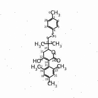 Cc1ccc(SCC(C)(C)C2CC(O)=C(c3c(C)cc(C)cc3C)C(=O)O2)cc1